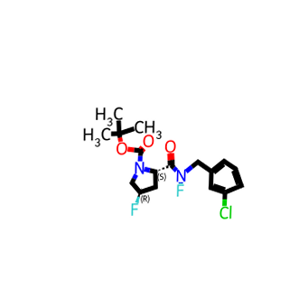 CC(C)(C)OC(=O)N1C[C@H](F)C[C@H]1C(=O)N(F)Cc1cccc(Cl)c1